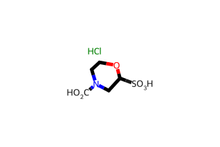 Cl.O=C(O)N1CCOC(S(=O)(=O)O)C1